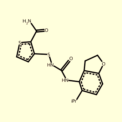 CC(C)c1ccc2c(c1NC(=O)NSc1ccsc1C(N)=O)CCO2